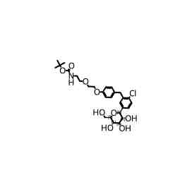 CC(C)(C)OC(=O)NCCOCCOc1ccc(Cc2cc([C@@H]3O[C@H](CO)[C@@H](O)[C@H](O)[C@H]3O)ccc2Cl)cc1